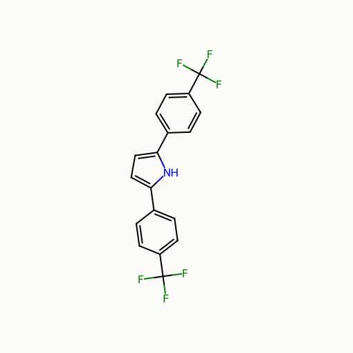 FC(F)(F)c1ccc(-c2ccc(-c3ccc(C(F)(F)F)cc3)[nH]2)cc1